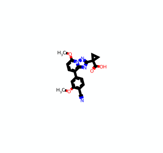 COc1cc(-c2ccc(OC)n3nc(C4(C(=O)O)CC4)nc23)ccc1C#N